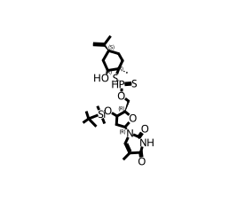 C=C(C)[C@H]1CC[C@@](C)(S[PH](=S)OC[C@H]2O[C@@H](n3cc(C)c(=O)[nH]c3=O)CC2O[Si](C)(C)C(C)(C)C)[C@H](O)C1